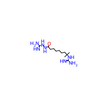 CC(C)(CCCCCCC(=O)NNC(=N)N)NC(=N)N